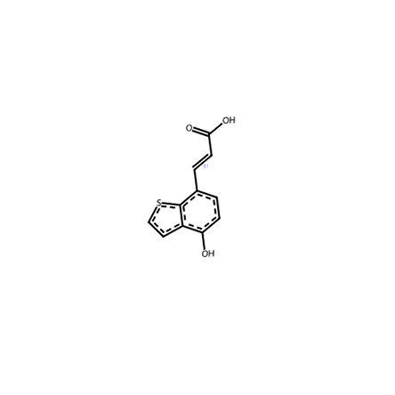 O=C(O)/C=C/c1ccc(O)c2ccsc12